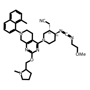 COCCN=C=N[C@H]1CCN(c2nc(OCC3CCCN3C)nc3c2CCN(c2cccc4cccc(C)c24)C3)C[C@@H]1CC#N